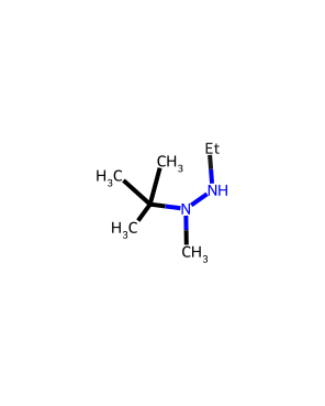 [CH2]CNN(C)C(C)(C)C